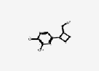 [O]CC1CCC1c1ccc(Cl)c(Cl)c1